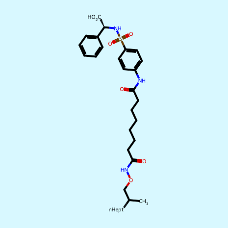 CCCCCCCC(C)CONC(=O)CCCCCCC(=O)Nc1ccc(S(=O)(=O)N[C@H](C(=O)O)c2ccccc2)cc1